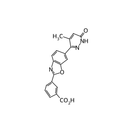 Cc1cc(=O)[nH]nc1-c1ccc2nc(-c3cccc(C(=O)O)c3)oc2c1